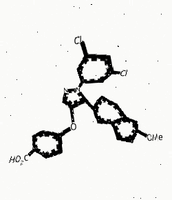 COc1ccc2cc(-c3c(Oc4ccc(C(=O)O)cc4)cnn3-c3cc(Cl)cc(Cl)c3)ccc2c1